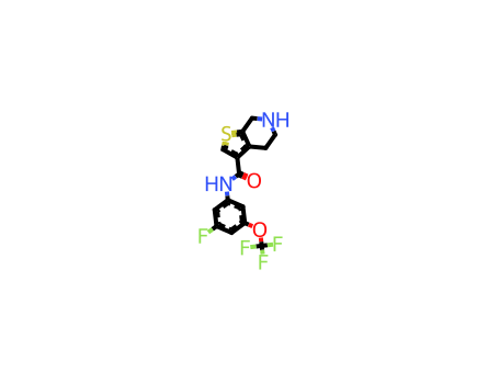 O=C(Nc1cc(F)cc(OC(F)(F)F)c1)c1csc2c1CCNC2